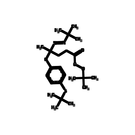 CC(C)(C)N=NC(C)(CCC(=O)OOC(C)(C)C)Oc1ccc(SC(C)(C)C)cc1